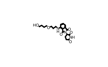 O=C1CCC(N2C(=O)c3cccc(NCCCOCCCCO)c3C2=O)C(=O)N1